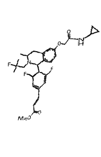 COC(=O)/C=C/C1=CC(F)C(C2c3ccc(OCC(=O)NC4CC4)cc3CC(C)N2CC(C)(C)F)C(F)=C1